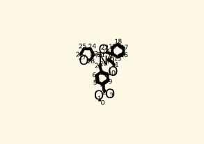 COC(=O)c1ccc2c(c1)OC[C@H](C1(C)C=CC=CC1)N(C(=O)[C@H]1CCCOC1)C2